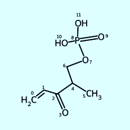 C=CC(=O)C(C)COP(=O)(O)O